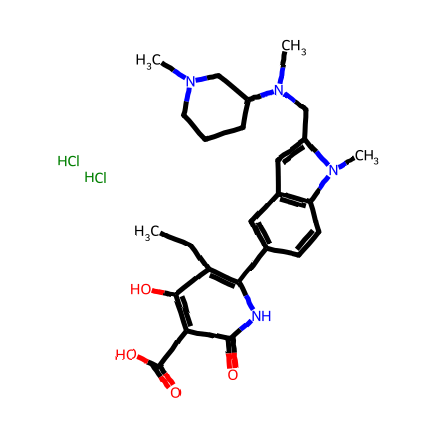 CCc1c(-c2ccc3c(c2)cc(CN(C)C2CCCN(C)C2)n3C)[nH]c(=O)c(C(=O)O)c1O.Cl.Cl